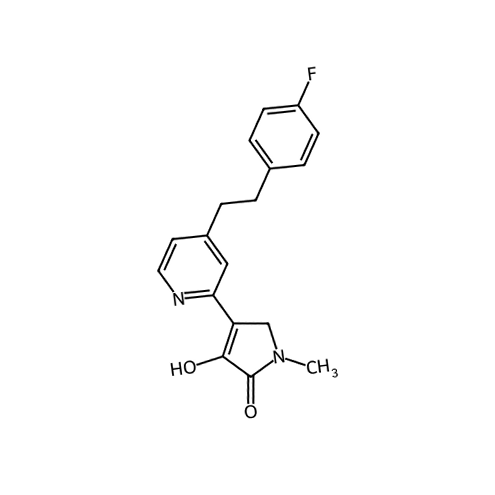 CN1CC(c2cc(CCc3ccc(F)cc3)ccn2)=C(O)C1=O